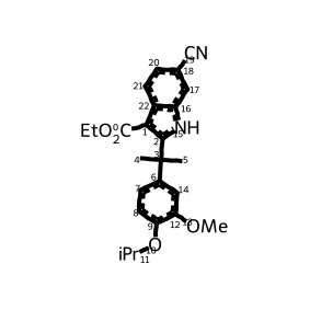 CCOC(=O)c1c(C(C)(C)c2ccc(OC(C)C)c(OC)c2)[nH]c2cc(C#N)ccc12